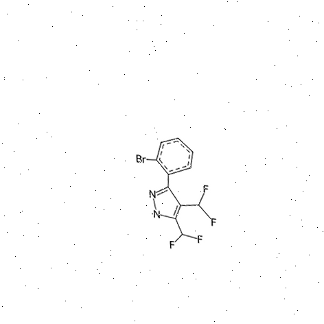 FC(F)C1=C(C(F)F)C(c2ccccc2Br)=N[N]1